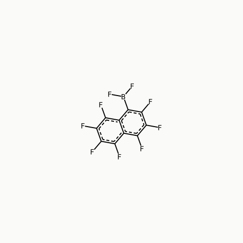 FB(F)c1c(F)c(F)c(F)c2c(F)c(F)c(F)c(F)c12